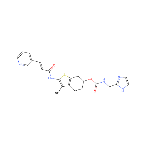 N#Cc1c(NC(=O)/C=C/c2cccnc2)sc2c1CCC(OC(=O)NCc1ncc[nH]1)C2